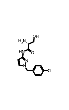 N[C@H](CO)C(=O)Nc1ccn(Cc2ccc(Cl)cc2)n1